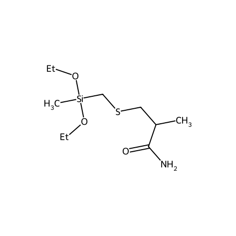 CCO[Si](C)(CSCC(C)C(N)=O)OCC